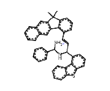 CC1(C)c2cc3ccccc3cc2-c2c(/C=C/C(NC(N)c3ccccc3)c3cccc4sc5ccccc5c34)cccc21